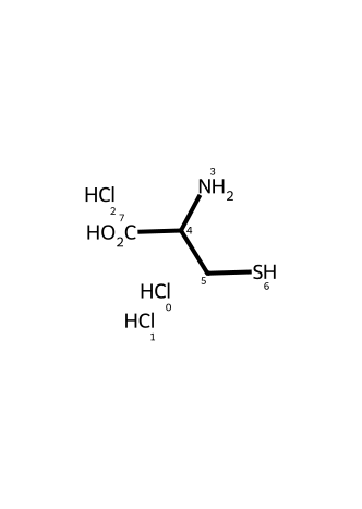 Cl.Cl.Cl.NC(CS)C(=O)O